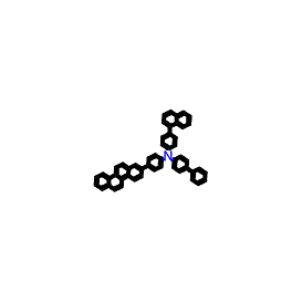 c1ccc(-c2ccc(N(c3ccc(-c4ccc5c(ccc6c7ccccc7ccc56)c4)cc3)c3ccc(-c4cccc5ccccc45)cc3)cc2)cc1